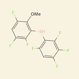 COc1c(F)cc(F)c(F)c1Bc1c(F)cc(F)c(F)c1F